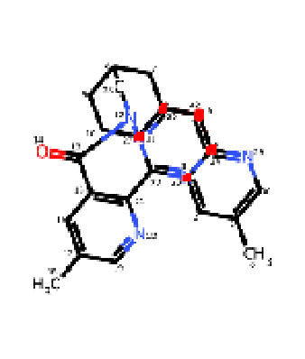 Cc1ccc(OC2CC3CCC2N(C(=O)c2cc(C)cnc2-c2ncccn2)C3)nc1